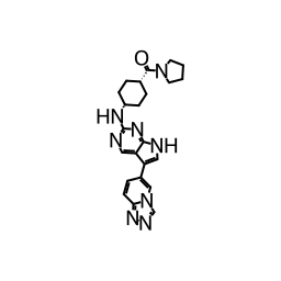 O=C([C@H]1CC[C@@H](Nc2ncc3c(-c4ccc5nncn5c4)c[nH]c3n2)CC1)N1CCCC1